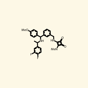 CNc1c(NCc2cccc(C(NC(C)c3ccc(F)c(F)c3)c3ccc(OC)cc3)c2)c(=O)c1=O